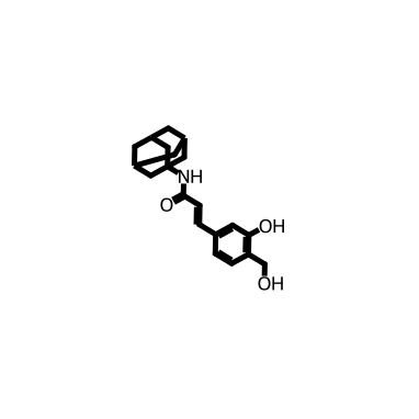 O=C(/C=C/c1ccc(CO)c(O)c1)NC12CC3CC(CC(C3)C1)C2